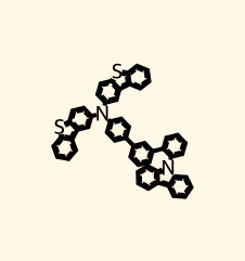 c1cc(-c2ccc(N(c3ccc4sc5ccccc5c4c3)c3ccc4sc5ccccc5c4c3)cc2)cc(-c2ccccc2-n2c3ccccc3c3ccccc32)c1